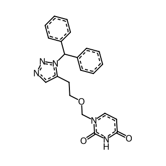 O=c1ccn(COCCc2cnnn2C(c2ccccc2)c2ccccc2)c(=O)[nH]1